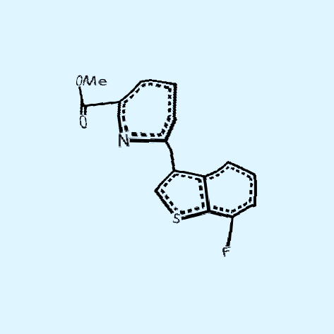 COC(=O)c1cccc(-c2csc3c(F)cccc23)n1